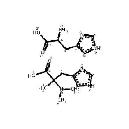 CN(C)C(C)(Cc1c[nH]cn1)C(=O)O.NC(Cc1c[nH]cn1)C(=O)O